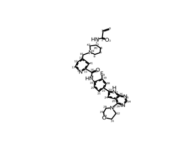 C=CC(=O)N[C@@H]1CCCN(Cc2ccnc(C(=O)Nc3ccc(-c4cc5c(N6CCOCC6)ncnc5[nH]4)cc3F)c2)C1